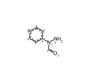 NN(C=O)c1ccncc1